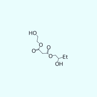 CCC(O)COC(=O)CC(=O)OCCO